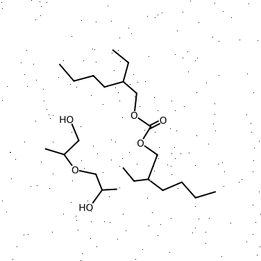 CC(O)COC(C)CO.CCCCC(CC)COC(=O)OCC(CC)CCCC